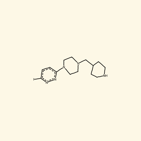 Ic1ccc(N2CCN(CC3CCNCC3)CC2)nn1